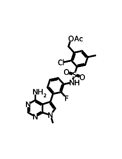 CC(=O)OCc1cc(C)cc(S(=O)(=O)Nc2cccc(-c3cn(C)c4ncnc(N)c34)c2F)c1Cl